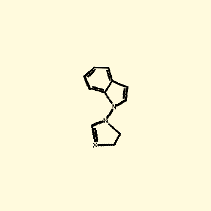 C1=NCCN1n1ccc2ccccc21